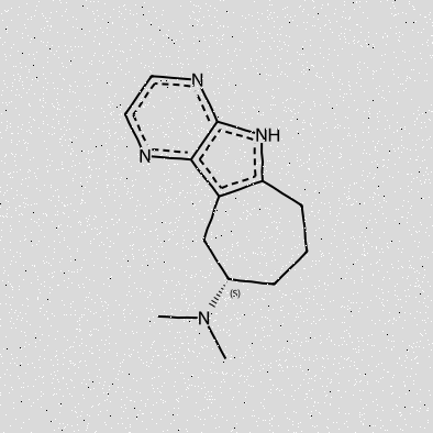 CN(C)[C@H]1CCCc2[nH]c3nccnc3c2C1